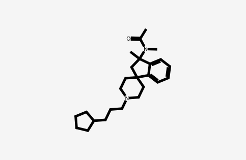 CC(=O)N(C)C1(C)CC2(CCN(CCCC3CCCC3)CC2)c2ccccc21